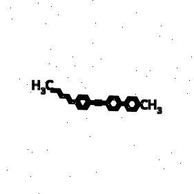 CCCCCCc1ccc(C#CC2CCC(C3CCC(C)CC3)CC2)cc1